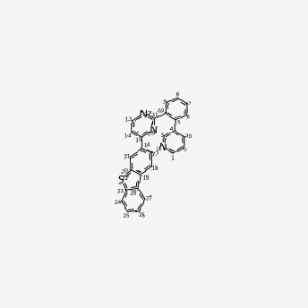 c1cncc(-c2ccccc2-c2nccc(-c3ccc4c(c3)sc3ccccc34)n2)c1